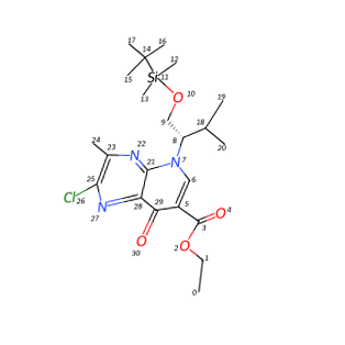 CCOC(=O)c1cn([C@H](CO[Si](C)(C)C(C)(C)C)C(C)C)c2nc(C)c(Cl)nc2c1=O